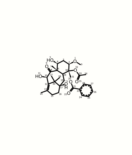 CO[C@@H]1C[C@H](O)[C@@]2(C)C(=O)[C@H](O)C3=C(C)CC[C@@](O)([C@@H](OC(=O)c4ccccc4)C2[C@@]1(C)OC(C)=O)C3(C)C